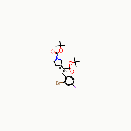 CC(C)(C)OC(=O)[C@@H](Cc1ccc(I)cc1Br)[C@H]1CCN(C(=O)OC(C)(C)C)C1